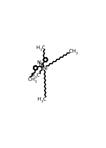 CCCCCCCCCCCCCC[CH2][Ni][CH2]CCCCCCCCCCCCCC.CCCCCc1cccc(C2=CC(CCCC)=C(c3cccc(CCCCC)c3)[N+]2=[N-])c1